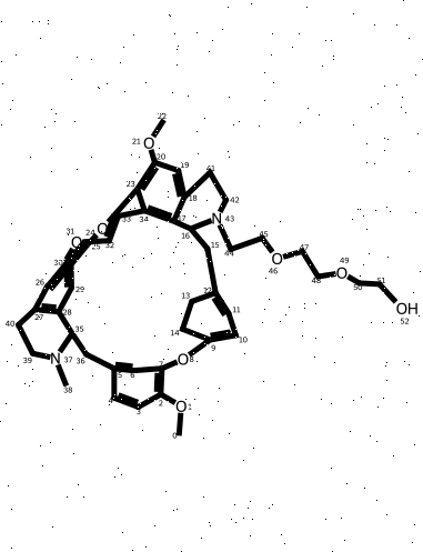 COc1ccc2cc1OC1=CC=C(CC1)CC1c3c(cc(OC)c4oc5cc6c(cc5occc34)C(C2)N(C)CC6)CCN1CCOCCOCCO